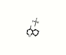 Cc1cc[o+]c2ccccc12.F[B-](F)(F)F